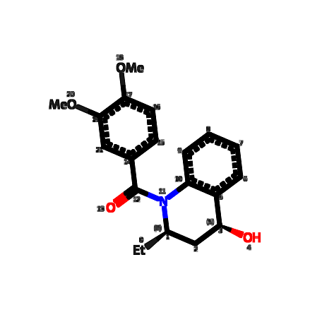 CC[C@@H]1C[C@H](O)c2ccccc2N1C(=O)c1ccc(OC)c(OC)c1